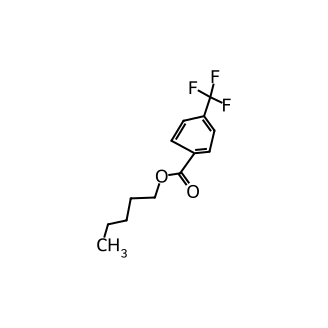 CCCCCOC(=O)c1ccc(C(F)(F)F)cc1